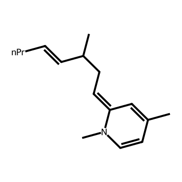 CCC/C=C/C(C)C/C=C1\C=C(C)C=CN1C